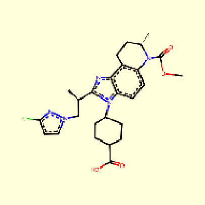 COC(=O)N1c2ccc3c(nc([C@H](C)Cn4ccc(Cl)n4)n3C3CCC(C(=O)O)CC3)c2CC[C@@H]1C